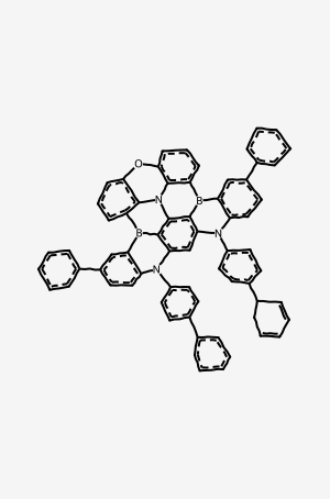 C1=CCC(c2ccc(N3c4ccc(-c5ccccc5)cc4B4c5cccc6c5N5c7c(cccc7B7c8cc(-c9ccccc9)ccc8N(c8ccc(-c9ccccc9)cc8)c8cc3c4c5c87)O6)cc2)C=C1